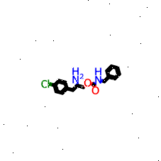 NC(COC(=O)NCc1ccccc1)Cc1ccc(Cl)cc1